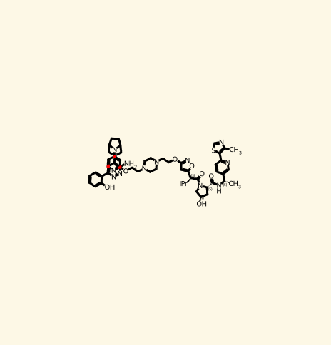 Cc1ncsc1-c1ccc([C@H](C)NC(=O)[C@@H]2C[C@@H](O)CN2C(=O)[C@H](c2cc(OCCN3CCN(CCOc4cc(N5C6CCC5CN(c5cc(-c7ccccc7O)nnc5N)C6)ccn4)CC3)no2)C(C)C)cn1